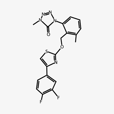 Cc1cccc(-n2nnn(C)c2=O)c1COc1nc(-c2ccc(F)c(F)c2)cs1